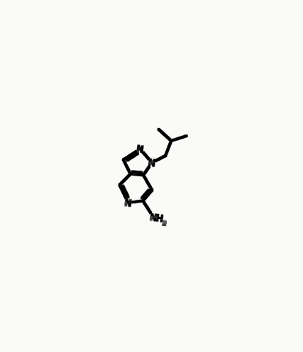 CC(C)Cn1ncc2cnc(N)cc21